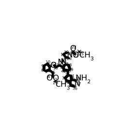 CCOC(=O)Cc1ccccc1OCc1nn([C@H]2CCN(C(=O)OCC)C2)c2ccc(-c3ccc4ccnc(N)c4c3)cc12